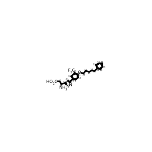 N[C@@H](CC(=O)O)c1nnc(-c2ccc(OCCCCCc3ccccc3)c(C(F)(F)F)c2)s1